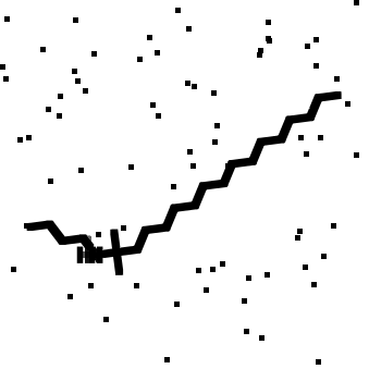 CCC[CH]NC(C)(C)CCCCCCCCCCCCCCC